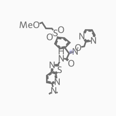 COCCCS(=O)(=O)c1ccc(/C(=N\OCc2ncccn2)C(=O)Nc2nc3ccc(N(C)C)nc3s2)cc1